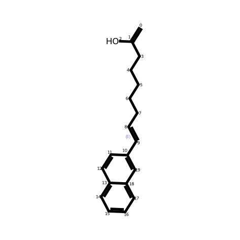 C=C(O)CCCCC/C=C/c1ccc2ccccc2c1